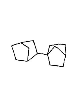 C1CC2CC1C[C]2C12CCC(CC1)C2